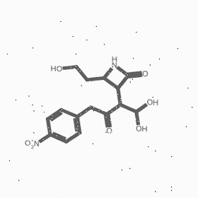 O=C(Cc1ccc([N+](=O)[O-])cc1)C(C(O)O)C1C(=O)NC1CCO